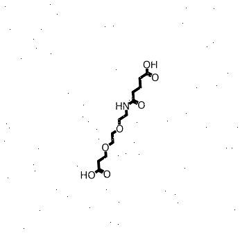 O=C(O)CCCC(=O)NCCOCCOCCC(=O)O